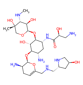 CN[C@@H]1[C@@H](O)[C@@H](O[C@@H]2[C@@H](O)[C@H](O[C@H]3OC(CNC[C@H]4C[C@H](O)CN4)=CC[C@H]3N)[C@@H](N)C[C@H]2NC(=O)[C@@H](O)CN)OC[C@]1(C)O